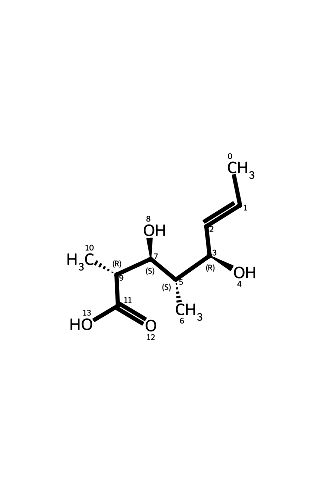 CC=C[C@@H](O)[C@H](C)[C@H](O)[C@@H](C)C(=O)O